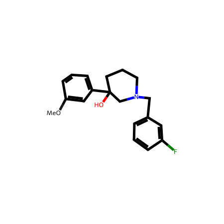 COc1cccc(C2(O)CCCN(Cc3cccc(F)c3)C2)c1